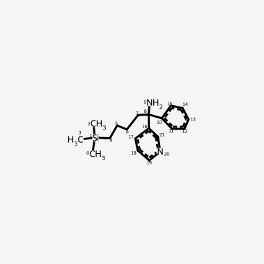 C[Si](C)(C)CCCCC(N)(c1ccccc1)c1cccnc1